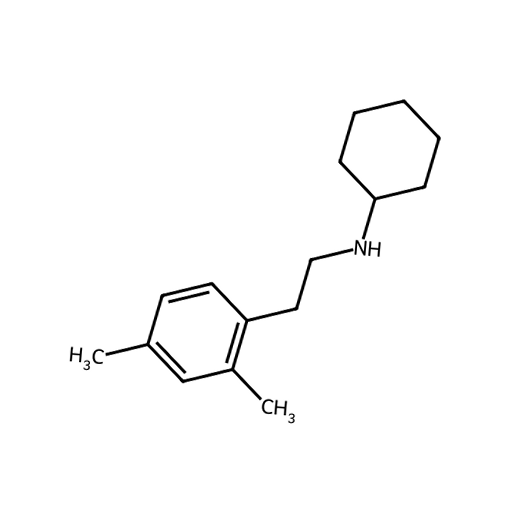 Cc1ccc(CCNC2CCCCC2)c(C)c1